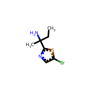 CCC(C)(N)c1ncc(Br)s1